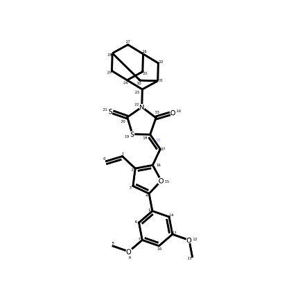 C=Cc1cc(-c2cc(OC)cc(OC)c2)oc1/C=C1\SC(=S)N(C2C3CC4CC(C3)CC2C4)C1=O